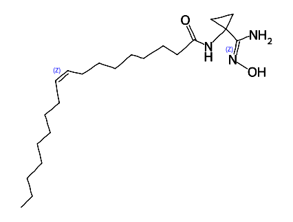 CCCCCCCC/C=C\CCCCCCCC(=O)NC1(/C(N)=N/O)CC1